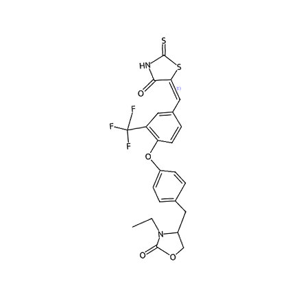 CCN1C(=O)OCC1Cc1ccc(Oc2ccc(/C=C3/SC(=S)NC3=O)cc2C(F)(F)F)cc1